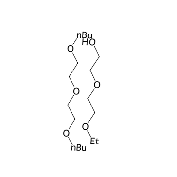 CCCCOCCOCCOCCCC.CCOCCOCCO